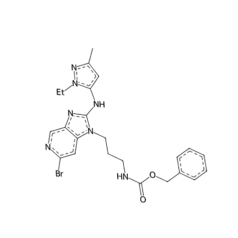 CCn1nc(C)cc1Nc1nc2cnc(Br)cc2n1CCCNC(=O)OCc1ccccc1